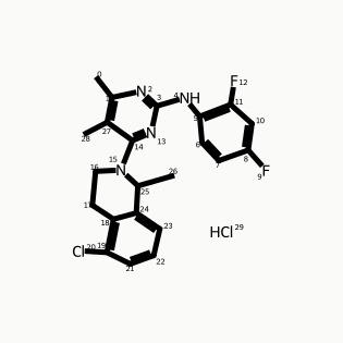 Cc1nc(Nc2ccc(F)cc2F)nc(N2CCc3c(Cl)cccc3C2C)c1C.Cl